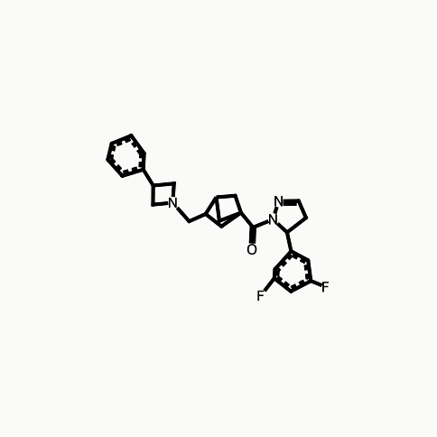 O=C(N1N=CCC1c1cc(F)cc(F)c1)C12CC(CN3CC(c4ccccc4)C3)C(C1)C2